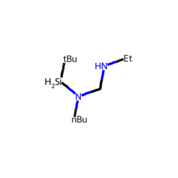 CCCCN(CNCC)[SiH2]C(C)(C)C